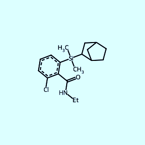 CCNC(=O)c1c(Cl)cccc1[Si](C)(C)C1CC2CCC1C2